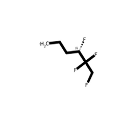 [CH2]CC[C@H](F)C(F)(F)CF